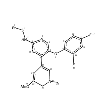 CCSNc1ncc(Oc2ccc(F)cc2F)c(C2=CN(C)CC(OC)=C2)n1